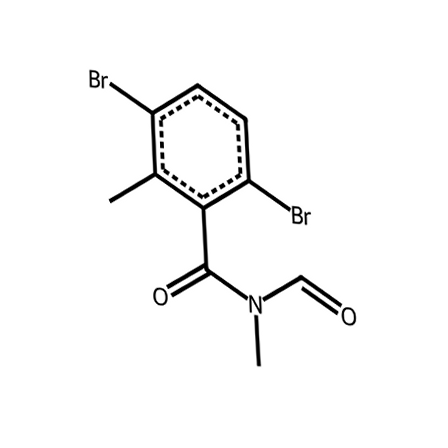 Cc1c(Br)ccc(Br)c1C(=O)N(C)C=O